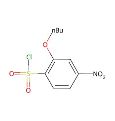 CCCCOc1cc([N+](=O)[O-])ccc1S(=O)(=O)Cl